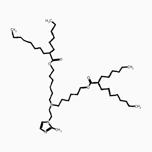 CCCCCCCCC(CCCCCC)C(=O)OCCCCCCN(CCCCCCOC(=O)C(CCCCCC)CCCCCCCC)CCn1ccnc1C